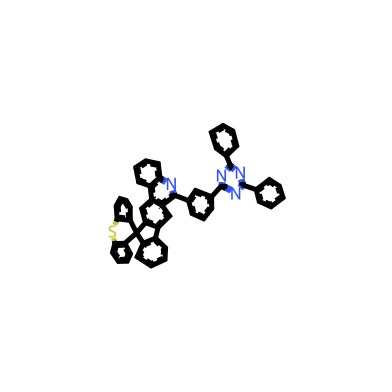 c1ccc(-c2nc(-c3ccccc3)nc(-c3cccc(-c4nc5ccccc5c5cc6c(cc45)-c4ccccc4C64c5ccccc5Sc5ccccc54)c3)n2)cc1